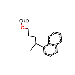 CC(CCCO[C]=O)c1cccc2ccccc12